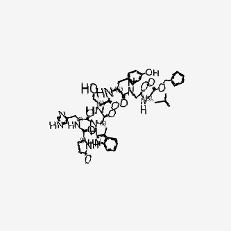 CC(C)C[C@H](NC(=O)CNC(=O)[C@H](Cc1ccc(O)cc1)NC(=O)[C@H](CO)NC(=O)[C@H](Cc1c[nH]c2ccccc12)NC(=O)[C@H](Cc1c[nH]cn1)NC(=O)[C@@H]1CCC(=O)N1)C(=O)OCc1ccccc1